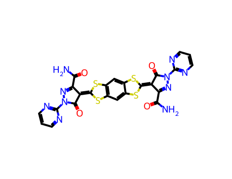 NC(=O)C1=NN(c2ncccn2)C(=O)C1=C1Sc2cc3c(cc2S1)SC(=C1C(=O)N(c2ncccn2)N=C1C(N)=O)S3